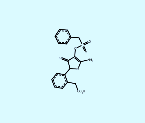 NC1=C(OS(=O)(=O)Cc2ccccc2)C(=O)C(c2ccccc2CC(=O)O)O1